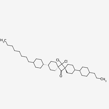 CCCCCCCCC1CCC([C@H]2CC[C@@]3(CC2)C(=O)[C@]2(CCC(C4CCC(CCC)CC4)CC2)C3(Cl)Cl)CC1